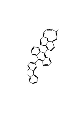 Cc1cccc2ccc3c(-c4c5ccccc5c(-c5ccc6sc7ccccc7c6c5)c5ccccc45)ccc(cc1)c3c2